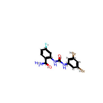 NC(=O)c1ccc(F)cc1NC(=O)Nc1cc(Br)cc(Br)c1